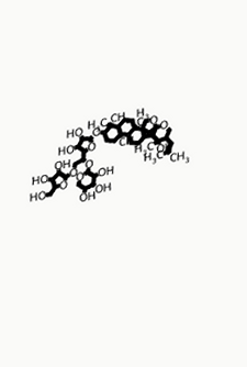 CC(C)=CC1COC23CC4(CO2)C(CCC2C5(C)CCC(OC6OC(C(COC7OC(CO)C(O)C7O)OC7OCC(O)C(O)C7O)C(O)C6O)C(C)(C)C5CCC24C)C3C1(C)O